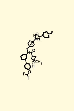 CC1(O)CC(C(=O)N(CC23CCC(c4noc(-c5ccc(F)cc5)n4)(CC2)CC3)c2cccc(-c3ccc(OC(F)F)cc3)c2)C1